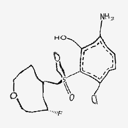 Nc1ccc(Cl)c(S(=O)(=O)[C@@H]2CCOC[C@H]2F)c1O